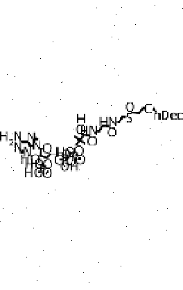 CCCCCCCCCCC=C=CCC(=O)SCCNC(=O)CCNC(=O)[C@H](O)C(C)(C)COP(=O)(O)OP(=O)(O)OC[C@H]1O[C@H](n2cnc3c(N)ncnc32)[C@H](O)[C@@H]1OP(=O)(O)O